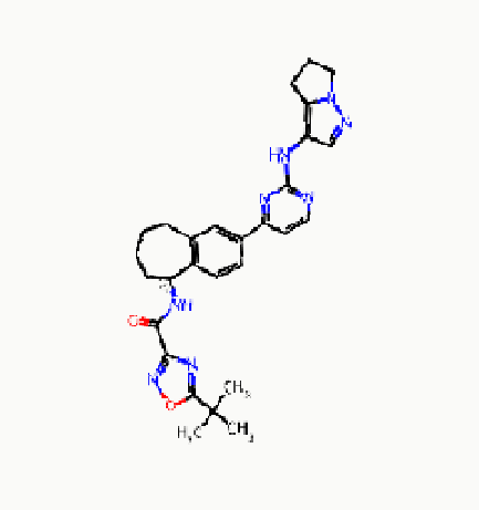 CC(C)(C)c1nc(C(=O)N[C@H]2CCCCc3cc(-c4ccnc(Nc5cnn6c5CCC6)n4)ccc32)no1